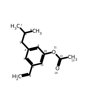 C=[C]c1cc(CC(C)C)cc(OC(C)=O)c1